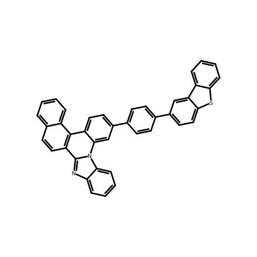 c1ccc2c(c1)ccc1c2c2ccc(-c3ccc(-c4ccc5sc6ccccc6c5c4)cc3)cc2n2c3ccccc3nc12